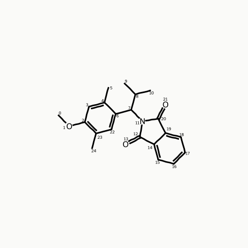 COc1cc(C)c(C(C(C)C)N2C(=O)c3ccccc3C2=O)cc1C